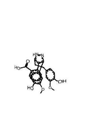 COc1cc(C2(c3ccc(O)c(OC)c3)Cc3[nH]nc2c3-c2ccccc2C(=O)O)ccc1O